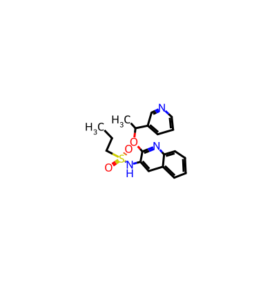 CCCS(=O)(=O)Nc1cc2ccccc2nc1OC(C)c1cccnc1